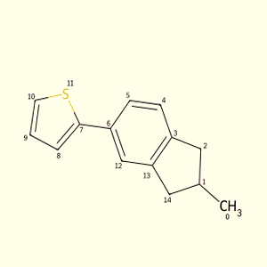 CC1Cc2ccc(-c3cccs3)cc2C1